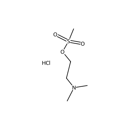 CN(C)CCOS(C)(=O)=O.Cl